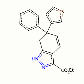 CCOC(=O)c1n[nH]c2c1C=CC(c1ccccc1)(c1ccsc1)C2